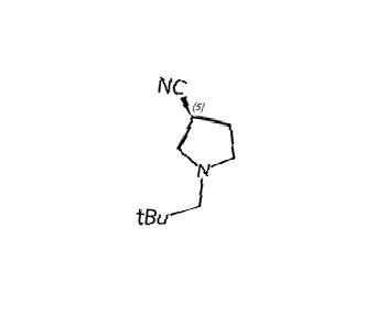 CC(C)(C)CN1CC[C@H](C#N)C1